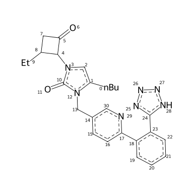 CCCCc1cn(C2C(=O)CC2CC)c(=O)n1Cc1ccc(-c2ccccc2-c2nnn[nH]2)nc1